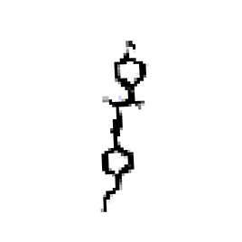 CCCc1ccc(C#C/C(F)=C(\F)c2ccc(Br)cc2)cc1